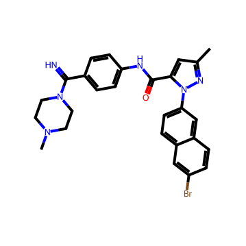 Cc1cc(C(=O)Nc2ccc(C(=N)N3CCN(C)CC3)cc2)n(-c2ccc3cc(Br)ccc3c2)n1